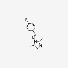 Cc1nnc(C)n1N=Cc1ccc(F)cc1